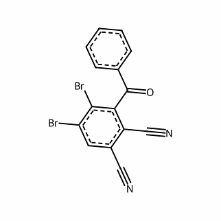 N#Cc1cc(Br)c(Br)c(C(=O)c2ccccc2)c1C#N